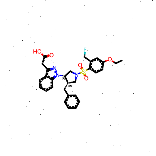 CCOc1ccc(S(=O)(=O)N2C[C@@H](Cc3ccccc3)[C@@H](n3nc(CC(=O)O)c4ccccc43)C2)c(CF)c1